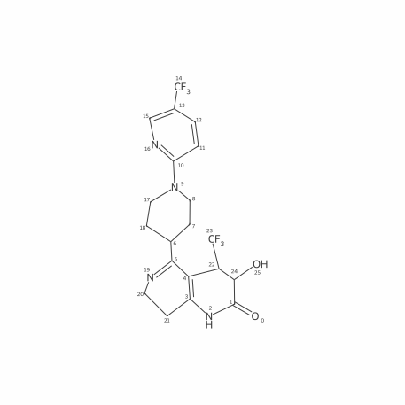 O=C1NC2=C(C(C3CCN(c4ccc(C(F)(F)F)cn4)CC3)=NCC2)C(C(F)(F)F)C1O